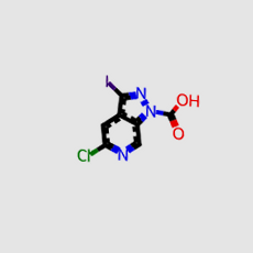 O=C(O)n1nc(I)c2cc(Cl)ncc21